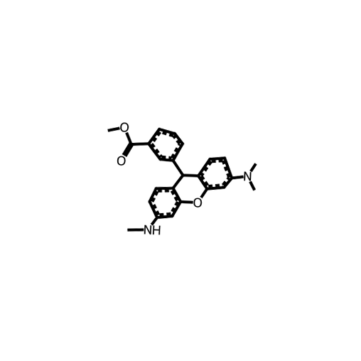 CNc1ccc2c(c1)Oc1cc(N(C)C)ccc1C2c1cccc(C(=O)OC)c1